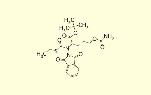 CCSC(=O)N(C(CCCOC(N)=O)C(=O)OC(C)(C)C)N1C(=O)c2ccccc2C1=O